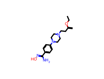 C=C(CCN1CCN(c2ccc(/C(N)=N/O)cc2)CC1)OCC